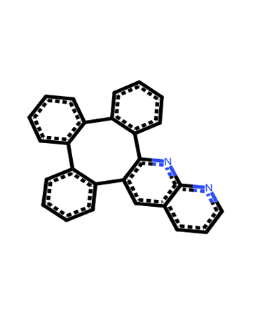 c1ccc2c(c1)-c1ccccc1-c1cc3cccnc3nc1-c1ccccc1-2